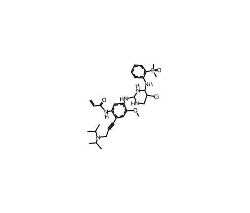 C=CC(=O)Nc1cc(NC2NCC(Cl)C(Nc3ccccc3P(C)(C)=O)N2)c(OC)cc1C#CCN(C(C)C)C(C)C